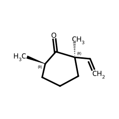 C=C[C@@]1(C)CCC[C@@H](C)C1=O